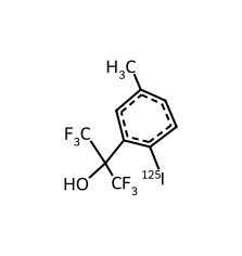 Cc1ccc([125I])c(C(O)(C(F)(F)F)C(F)(F)F)c1